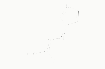 CC(C)=NN=S1C=CN=C1